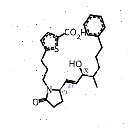 CC(CCCc1ccccc1)[C@H](O)/C=C/[C@H]1CCC(=O)N1CCCc1ccc(C(=O)O)s1